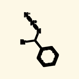 [N-]=[N+]=NC(Br)c1ccccc1